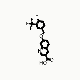 O=C(O)c1cnc2cc(OCc3ccc(F)c(C(F)(F)F)c3)ccc2c1